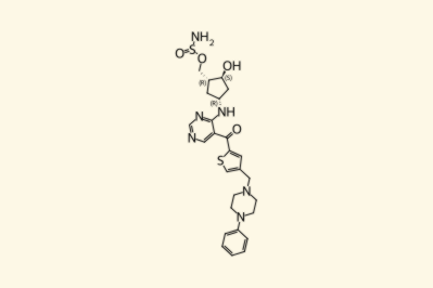 NS(=O)OC[C@H]1C[C@@H](Nc2ncncc2C(=O)c2cc(CN3CCN(c4ccccc4)CC3)cs2)C[C@@H]1O